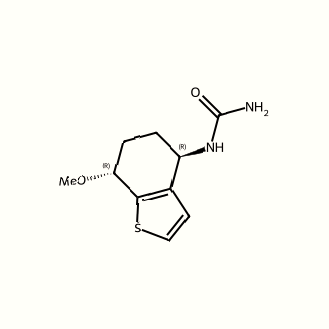 CO[C@@H]1CC[C@@H](NC(N)=O)c2ccsc21